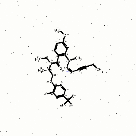 CCC#C/C=N\N(C)c1cc(OC)ccc1C(=O)N(CC)[C@@H](C)COc1ncc(C(F)(F)F)cc1F